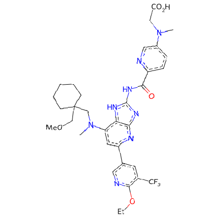 CCOc1ncc(-c2cc(N(C)CC3(COC)CCCCC3)c3[nH]c(NC(=O)c4ccc(N(C)CC(=O)O)cn4)nc3n2)cc1C(F)(F)F